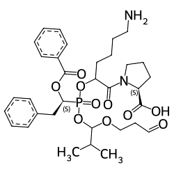 CC(C)C(OCCC=O)OP(=O)(OC(CCCCN)C(=O)N1CCC[C@H]1C(=O)O)[C@@H](Cc1ccccc1)OC(=O)c1ccccc1